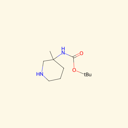 CC1(NC(=O)OC(C)(C)C)CCCNC1